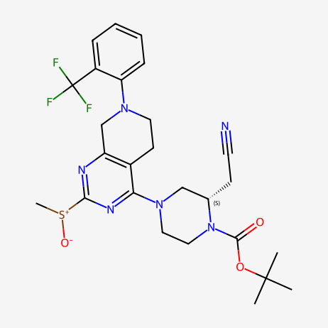 C[S+]([O-])c1nc2c(c(N3CCN(C(=O)OC(C)(C)C)[C@@H](CC#N)C3)n1)CCN(c1ccccc1C(F)(F)F)C2